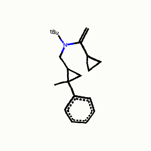 C=C(C1CC1)N(CC1CC1(C)c1ccccc1)C(C)(C)C